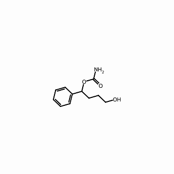 NC(=O)OC(CCCO)c1ccccc1